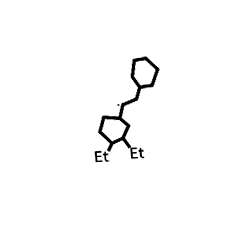 CCC1CCC([CH]CC2CCCCC2)CC1CC